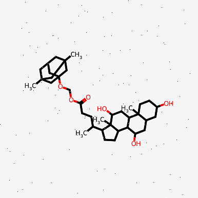 CC(CCC(=O)OCOC12CC3CC(C)(CC(C)(C3)C1)C2)C1CCC2C3C(O)CC4CC(O)CCC4(C)C3CC(O)C12C